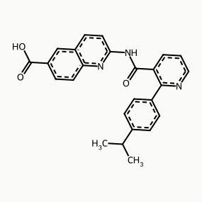 CC(C)c1ccc(-c2ncccc2C(=O)Nc2ccc3cc(C(=O)O)ccc3n2)cc1